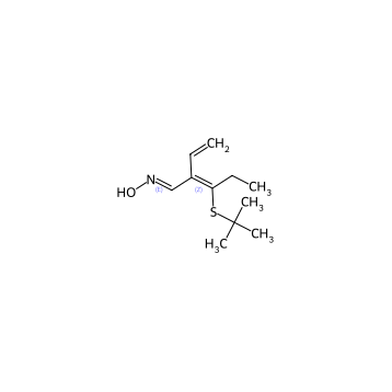 C=CC(/C=N/O)=C(\CC)SC(C)(C)C